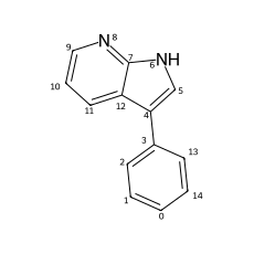 c1ccc(-c2c[nH]c3ncccc23)cc1